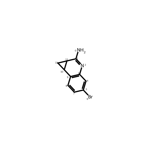 NC1=Nc2cc(Br)ccc2C2CC12